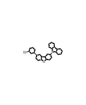 CCc1cccc(-c2ccc3oc4ccc(-n5c6ccccc6c6ccccc65)cc4c3c2)c1